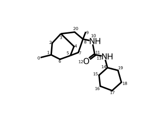 CC1CC2CC(C1)CC(C)(NC(=O)NC1CCCCC1)C2